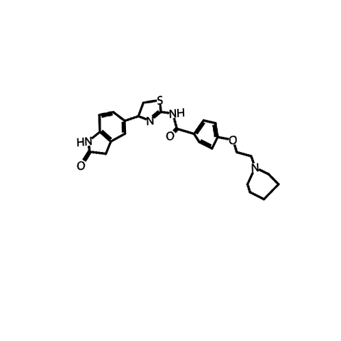 O=C1Cc2cc(C3CSC(NC(=O)c4ccc(OCCN5CCCCC5)cc4)=N3)ccc2N1